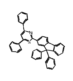 c1ccc(-c2cc(-c3ccccc3)nc(-c3ccc4c(c3)C(c3ccccc3)(c3ccccc3)c3ccccc3-4)n2)cc1